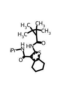 CC(C)NC(=O)c1c(NC(=O)C2C(C)(C)C2(C)C)sc2c1CCCC2